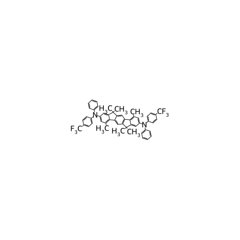 Cc1cc(N(c2ccccc2)c2ccc(C(F)(F)F)cc2)cc2c1-c1cc3c(cc1C2(C)C)-c1c(C)cc(N(c2ccccc2)c2ccc(C(F)(F)F)cc2)cc1C3(C)C